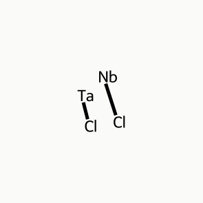 [Cl][Nb].[Cl][Ta]